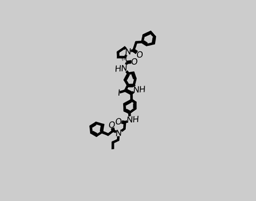 CCCN(CC(=O)Nc1ccc(-c2[nH]c3ccc(NC(=O)[C@@H]4CCCN4C(=O)Cc4ccccc4)cc3c2I)cc1)C(=O)Cc1ccccc1